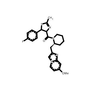 COc1ccn2cc(C[C@@H]3CCCCN3C(=O)C3N=C(C)SC3c3ccc(F)cc3)nc2c1